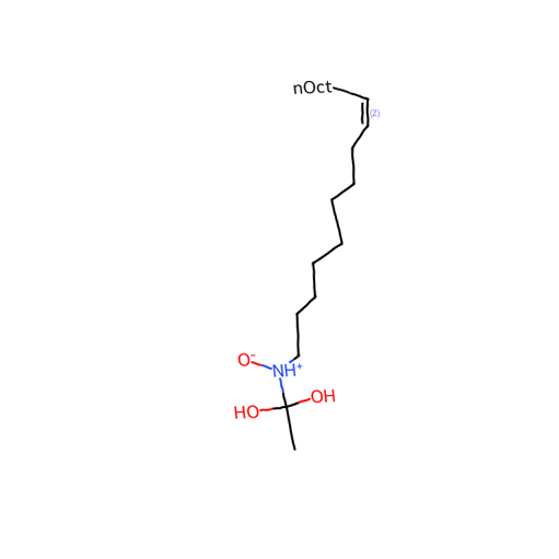 CCCCCCCC/C=C\CCCCCCCC[NH+]([O-])C(C)(O)O